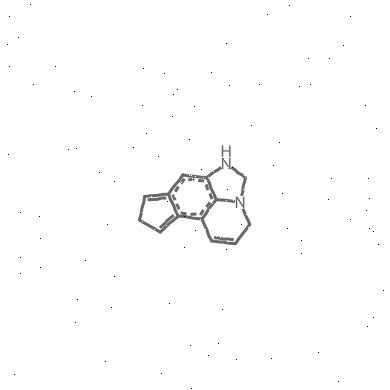 C1=Cc2c3c(cc4c2=CCC=4)NCN3C1